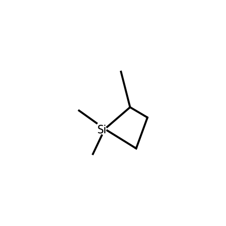 CC1CC[Si]1(C)C